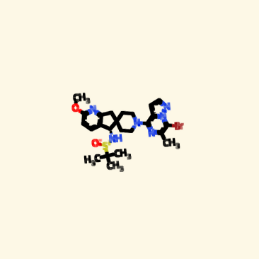 COc1ccc2c(n1)CC1(CCN(c3nc(C)c(Br)n4nccc34)CC1)[C@@H]2N[S@+]([O-])C(C)(C)C